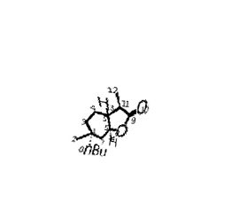 CCCC[C@]1(C)CC[C@H]2[C@H](C1)OC(=O)[C@@H]2C